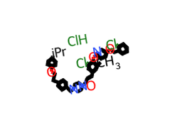 Cc1cc(C=CC(=O)N2CCN(Cc3ccc(CCOc4ccc(C(C)C)cc4)cc3)CC2)cc(Cl)c1Oc1ccc(OCc2ccccc2Cl)cn1.Cl